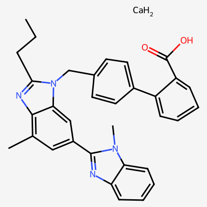 CCCc1nc2c(C)cc(-c3nc4ccccc4n3C)cc2n1Cc1ccc(-c2ccccc2C(=O)O)cc1.[CaH2]